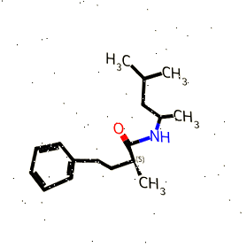 CC(C)CC(C)NC(=O)[C@@H](C)CCc1ccccc1